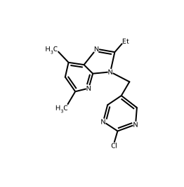 CCc1nc2c(C)cc(C)nc2n1Cc1cnc(Cl)nc1